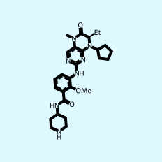 CC[C@@H]1C(=O)N(C)c2cnc(Nc3cccc(C(=O)NC4CCNCC4)c3OC)nc2N1C1CCCC1